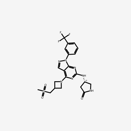 CS(=O)(=O)CC1CN(c2nc(N[C@@H]3CNC(=O)C3)nc3c2cnn3-c2cccc(C(F)(F)F)c2)C1